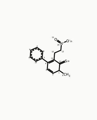 CC1C=CC(c2ccccc2)=C(CC[N+](=O)[O-])C1=S